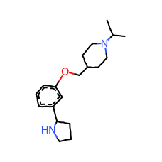 CC(C)N1CCC(COc2cccc(C3CCCN3)c2)CC1